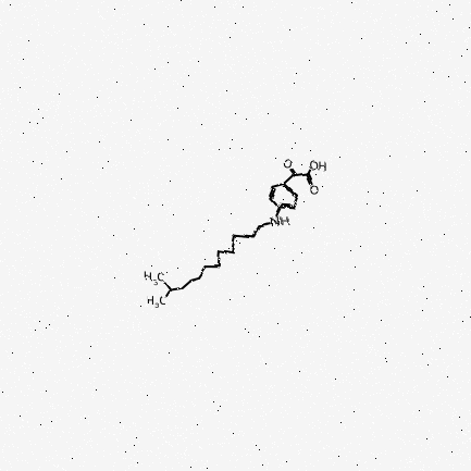 CC(C)CCCCCCCCCCNc1ccc(C(=O)C(=O)O)cc1